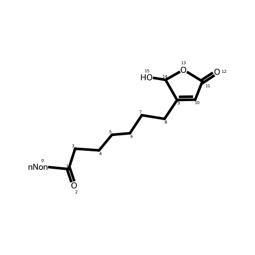 CCCCCCCCCC(=O)CCCCCCC1=CC(=O)OC1O